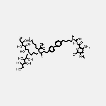 N=C(NCCCCc1ccc(-c2ccc(CCC(=O)N(CCCN(CC(O)C(O)C(O)C(O)CO)CC(O)C(O)C(O)C(O)CO)C(CCCCN)C(=O)O)cc2)cc1)NC(=O)c1nc(Cl)c(N)nc1N